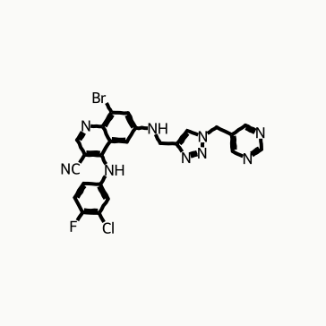 N#Cc1cnc2c(Br)cc(NCc3cn(Cc4cncnc4)nn3)cc2c1Nc1ccc(F)c(Cl)c1